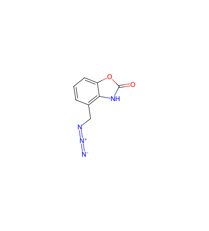 [N-]=[N+]=NCc1cccc2oc(=O)[nH]c12